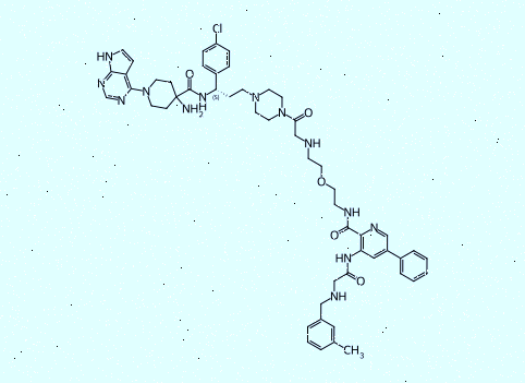 Cc1cccc(CNCC(=O)Nc2cc(-c3ccccc3)cnc2C(=O)NCCOCCNCC(=O)N2CCN(CC[C@H](NC(=O)C3(N)CCN(c4ncnc5[nH]ccc45)CC3)c3ccc(Cl)cc3)CC2)c1